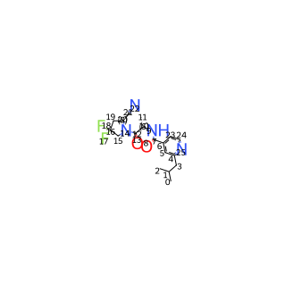 CC(C)Cc1cc(C(=O)N[C@@H](C)C(=O)N2CC(F)(F)C[C@H]2C#N)ccn1